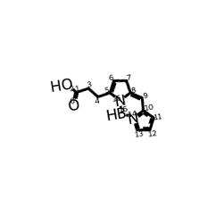 O=C(O)CCC1=CCC2=Cc3cccn3BN21